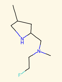 CC1CNC(CN(C)CCF)C1